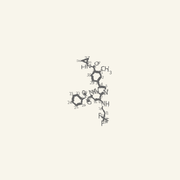 Cc1cc(-c2cnc3c(NCCC(F)(F)F)cc(S(=O)(=O)c4ccccc4)nn23)ccc1C(=O)NC1CC1